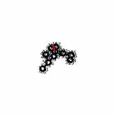 c1ccc(-c2ccc(-c3ccc(N(c4ccccc4)c4ccc(-c5cccc6ccccc56)cc4)c(-c4ccccc4)c3)c(-c3ccccc3)c2)cc1